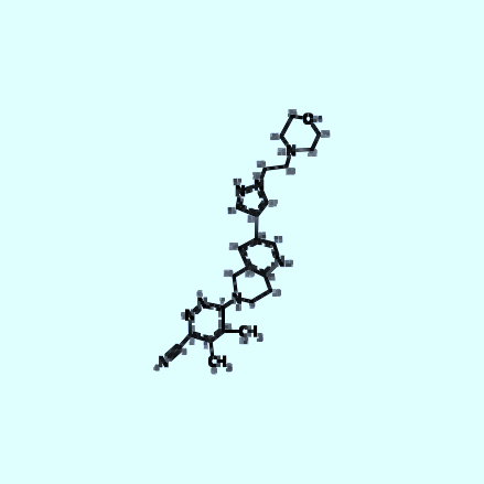 Cc1c(C#N)nnc(N2CCc3ncc(-c4cnn(CCN5CCOCC5)c4)cc3C2)c1C